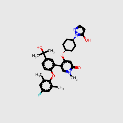 Cc1cc(F)cc(C)c1Oc1ccc(C(C)(C)O)cc1-c1cn(C)c(=O)cc1O[C@H]1CC[C@H](n2nccc2O)CC1